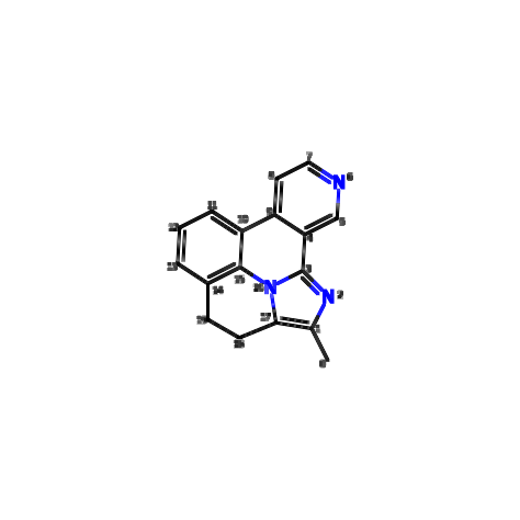 Cc1nc2c3cnccc3c3cccc4c3n2c1CC4